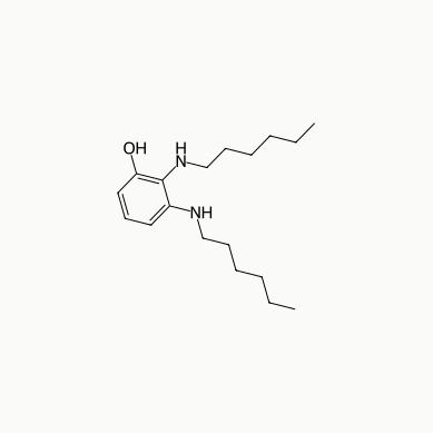 CCCCCCNc1cccc(O)c1NCCCCCC